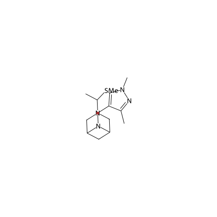 CSC(C)N1CC2CC(C1)N2Cc1cn(C)nc1C